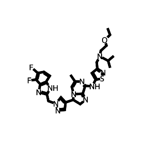 CCOCCN(Cc1cc(NC2=NC(C)=CN3C2=NCC3c2cnn(Cc3nc4c(F)c(F)ccc4[nH]3)c2)sn1)C(C)C